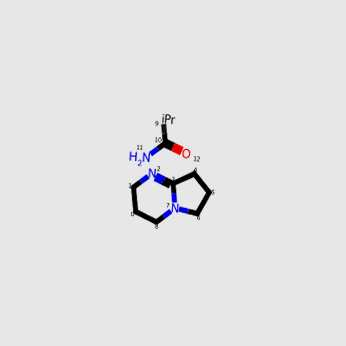 C1CN=C2CCCN2C1.CC(C)C(N)=O